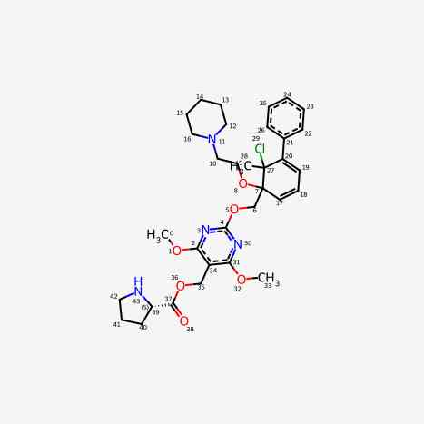 COc1nc(OCC2(OCCN3CCCCC3)C=CC=C(c3ccccc3)C2(C)Cl)nc(OC)c1COC(=O)[C@@H]1CCCN1